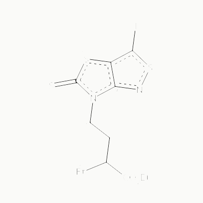 CCOC(=O)C(CC)CCn1c(=S)sc2c(I)snc21